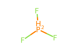 F[PH2](F)F